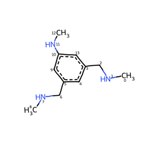 CNCc1cc(CNC)cc(NC)c1